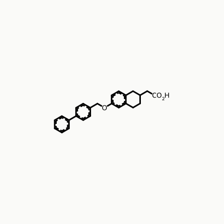 O=C(O)CC1CCc2cc(OCc3ccc(-c4ccccc4)cc3)ccc2C1